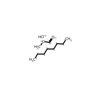 CCCCCCCC.COC=O.Cl